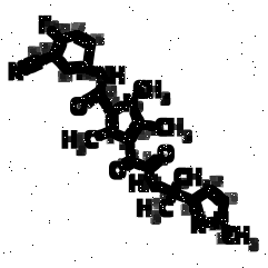 Cc1c(C(=O)C(=O)NC(C)(C)c2ccn(C)n2)c(C)n(C)c1C(=O)Nc1ccc(F)c(C#N)c1